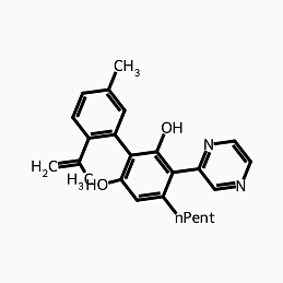 C=C(C)c1ccc(C)cc1-c1c(O)cc(CCCCC)c(-c2cnccn2)c1O